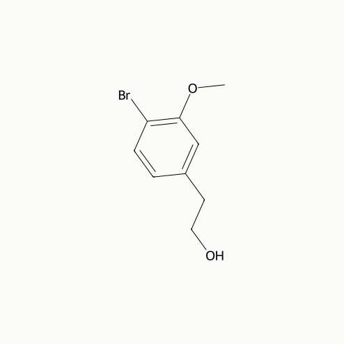 COc1cc(CCO)ccc1Br